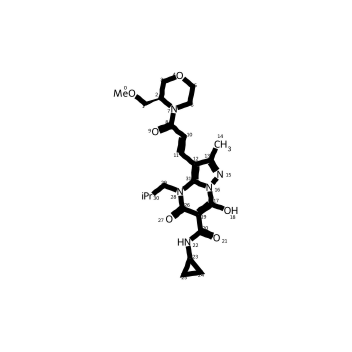 COC[C@H]1COCCN1C(=O)/C=C/c1c(C)nn2c(O)c(C(=O)NC3CC3)c(=O)n(CC(C)C)c12